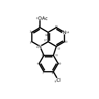 CC(=O)OC1=CCn2c3ccc(Cl)cc3c3cncc1c32